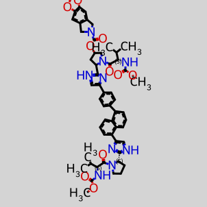 COC(=O)N[C@H](C(=O)N1CC(OC(=O)N2Cc3cc4c(cc3C2)OCO4)CC1c1nc(-c2ccc(-c3cccc4c(-c5c[nH]c([C@@H]6CCCN6C(=O)[C@@H](NC(=O)OC)C(C)C)n5)cccc34)cc2)c[nH]1)C(C)C